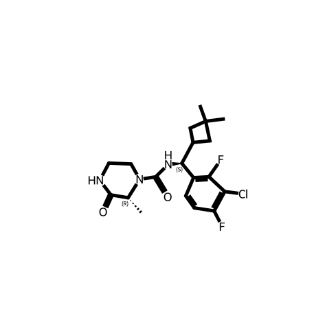 C[C@@H]1C(=O)NCCN1C(=O)N[C@H](c1ccc(F)c(Cl)c1F)C1CC(C)(C)C1